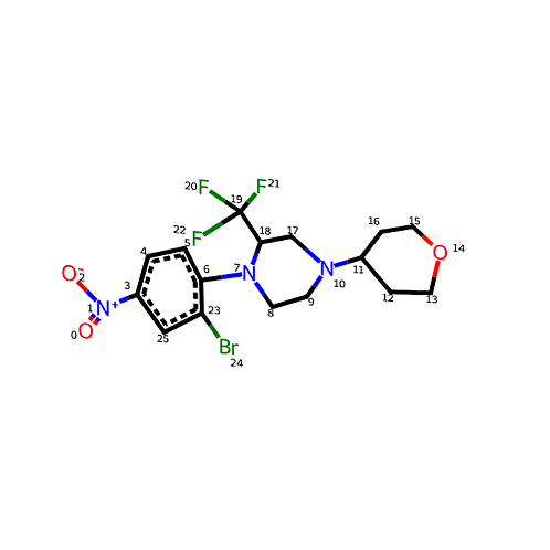 O=[N+]([O-])c1ccc(N2CCN(C3CCOCC3)CC2C(F)(F)F)c(Br)c1